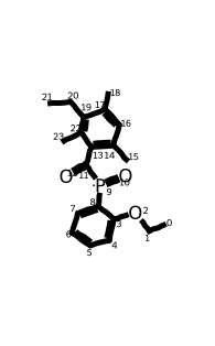 CCOc1ccccc1[P](=O)C(=O)c1c(C)cc(C)c(CC)c1C